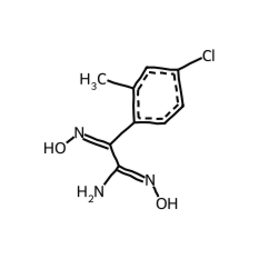 Cc1cc(Cl)ccc1C(=NO)C(N)=NO